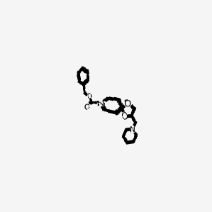 O=C(OCc1ccccc1)N1CCC2(CC1)OCC(CN1CCCCC1)O2